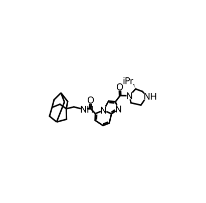 CC(C)[C@@H]1CNCCN1C(=O)c1cn2c(C(=O)NCC34CC5CC(CC(C5)C3)C4)cccc2n1